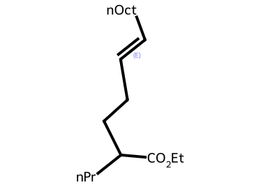 CCCCCCCC/C=C/CCC(CCC)C(=O)OCC